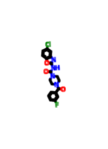 O=C(Nc1nc2cc(Cl)ccc2o1)N1CCN(C(=O)c2cccc(F)c2)CC1